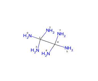 NC(N)(N)C(N)(N)N